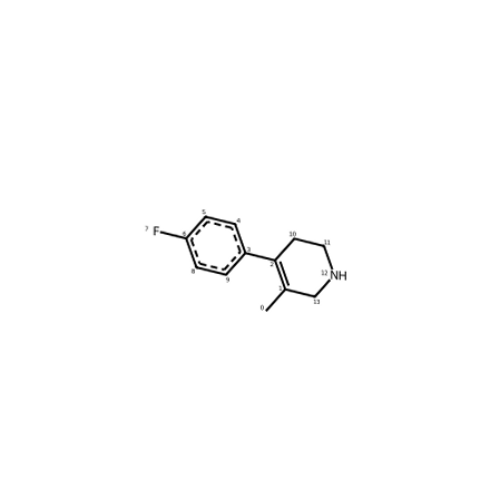 CC1=C(c2ccc(F)cc2)CCNC1